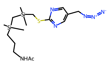 CC(=O)NCCC[Si](C)(C)C[Si](C)(C)CSc1ncc(CN=[N+]=[N-])cn1